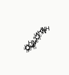 C1=NNCC1CN1CCC(CN[C@@H]2C[C@H]2c2ccccc2)CC1